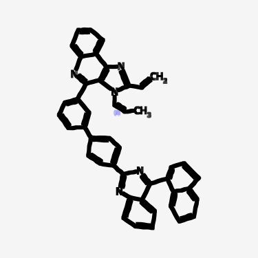 C=Cc1nc2c3ccccc3nc(-c3cccc(-c4ccc(-c5nc(-c6cccc7ccccc67)c6ccccc6n5)cc4)c3)c2n1/C=C\C